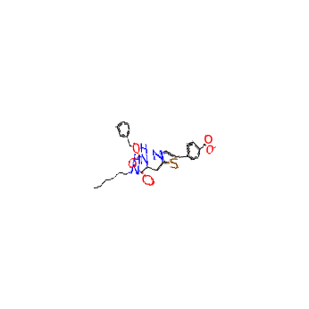 CCCCCCNC(=O)C(Cc1ncc(-c2ccc(C(=O)OC)cc2)s1)NC(=O)OCc1ccccc1